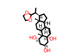 CC(C1OCCO1)[C@H]1CC[C@H]2[C@@H]3C=C[C@@]4(O)C[C@H](O)C[C@H](O)[C@]4(C)[C@H]3CC[C@]12C